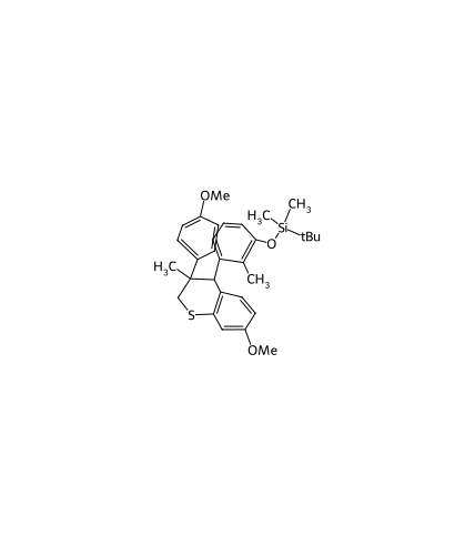 COc1ccc(C2(C)CSc3cc(OC)ccc3C2c2cccc(O[Si](C)(C)C(C)(C)C)c2C)cc1